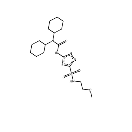 COCCNS(=O)(=O)c1nnc(NC(=O)N(C2CCCCC2)C2CCCCC2)s1